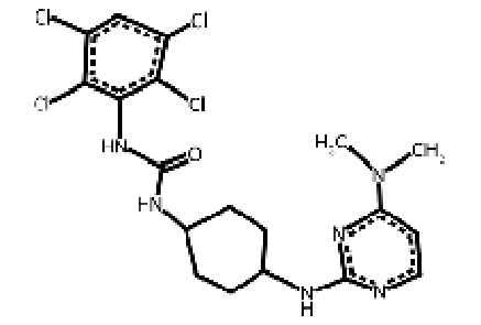 CN(C)c1ccnc(NC2CCC(NC(=O)Nc3c(Cl)c(Cl)cc(Cl)c3Cl)CC2)n1